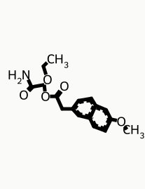 CCOC(OC(=O)Cc1ccc2cc(OC)ccc2c1)C(N)=O